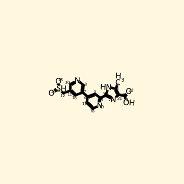 Cc1[nH]c(-c2cc(-c3cncc(C[SH](=O)=O)c3)ccn2)nc1C(=O)O